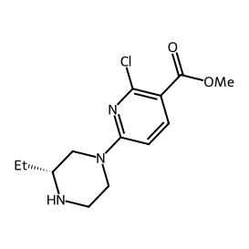 CC[C@@H]1CN(c2ccc(C(=O)OC)c(Cl)n2)CCN1